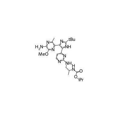 COc1nc(-c2nc(C(C)(C)C)[nH]c2-c2ccnc(NCC(C)NC(=O)OC(C)C)n2)c(C)nc1N